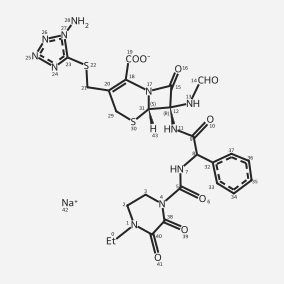 CCN1CCN(C(=O)NC(C(=O)N[C@]2(NC=O)C(=O)N3C(C(=O)[O-])=C(CSc4nnnn4N)CS[C@H]32)c2ccccc2)C(=O)C1=O.[Na+]